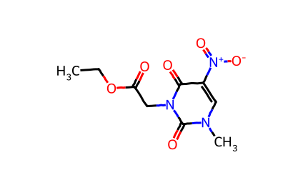 CCOC(=O)Cn1c(=O)c([N+](=O)[O-])cn(C)c1=O